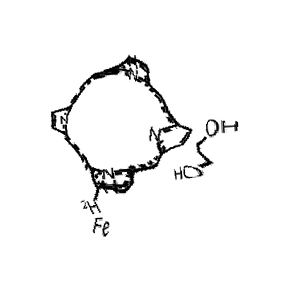 OCCO.[2H]c1cc2cc3nc(cc4ccc(cc5nc(cc1[nH]2)C=C5)[nH]4)C=C3.[Fe]